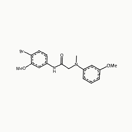 COc1cccc(N(C)CC(=O)Nc2ccc(Br)c(OC)c2)c1